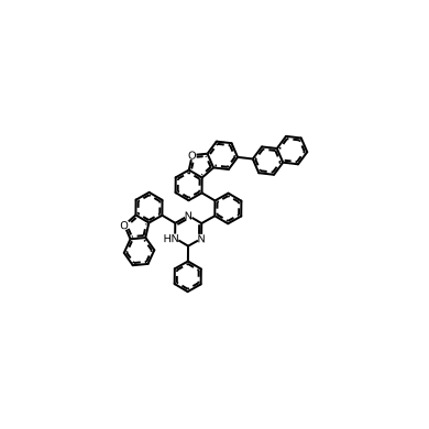 c1ccc(C2N=C(c3ccccc3-c3cccc4oc5ccc(-c6ccc7ccccc7c6)cc5c34)N=C(c3cccc4oc5ccccc5c34)N2)cc1